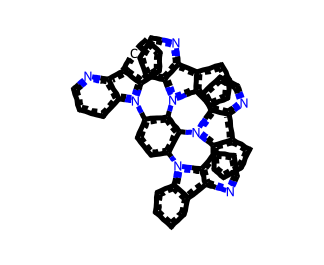 c1ccc2c(c1)c1ncccc1n2-c1ccc(-n2c3ccccc3c3ncccc32)c(-n2c3ccccc3c3ncccc32)c1-n1c2ccccc2c2ncccc21